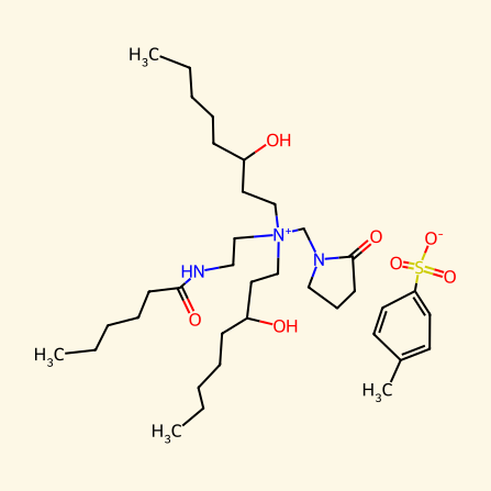 CCCCCC(=O)NCC[N+](CCC(O)CCCCC)(CCC(O)CCCCC)CN1CCCC1=O.Cc1ccc(S(=O)(=O)[O-])cc1